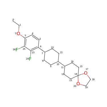 CCOc1ccc(C2CCC(C3CCC4(CC3)OCCO4)CC2)c(F)c1F